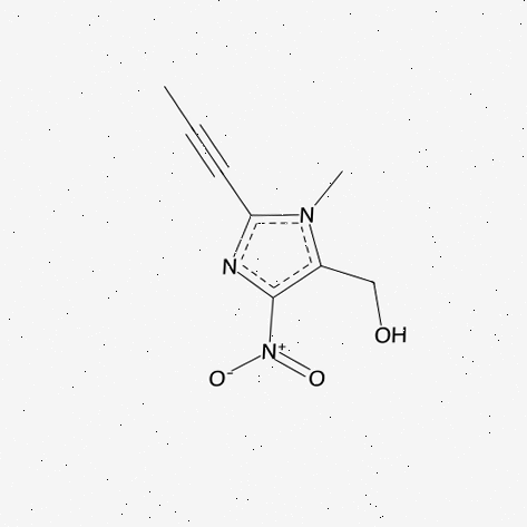 CC#Cc1nc([N+](=O)[O-])c(CO)n1C